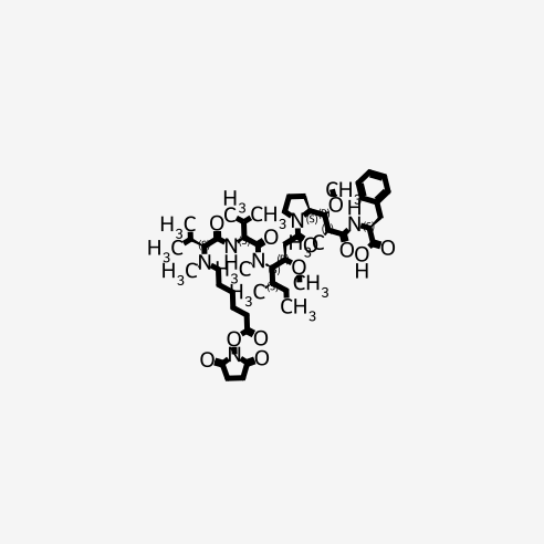 CC[C@H](C)[C@@H]([C@@H](CC(=O)N1CCC[C@H]1[C@H](OC)[C@@H](C)C(=O)N[C@@H](Cc1ccccc1)C(=O)O)OC)N(C)C(=O)[C@@H](NC(=O)[C@H](C(C)C)N(C)CCCCCC(=O)ON1C(=O)CCC1=O)C(C)C